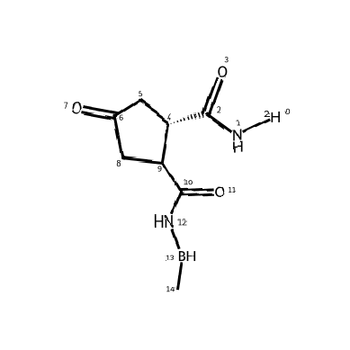 [2H]NC(=O)[C@H]1CC(=O)CC1C(=O)NBC